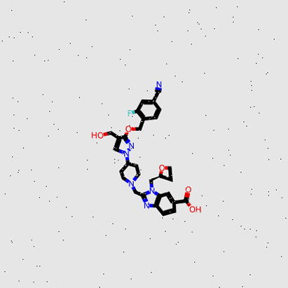 N#Cc1ccc(COc2nn(C3CCN(Cc4nc5ccc(C(=O)O)cc5n4C[C@@H]4CCO4)CC3)cc2CO)c(F)c1